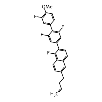 C=CCCc1ccc2c(F)c(-c3cc(F)c(-c4ccc(OC)c(F)c4)c(F)c3)ccc2c1